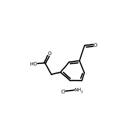 NCl.O=Cc1cccc(CC(=O)O)c1